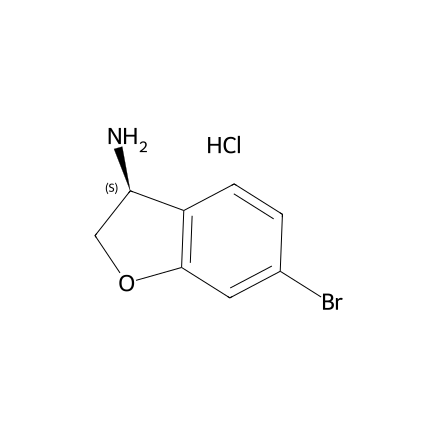 Cl.N[C@@H]1COc2cc(Br)ccc21